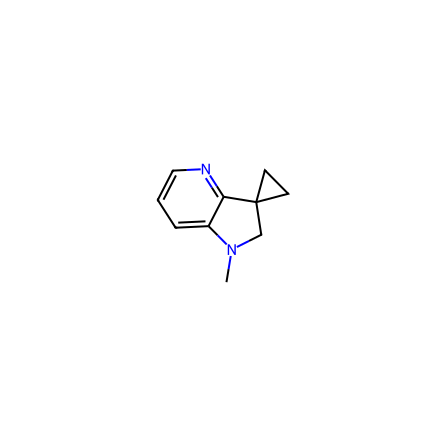 CN1CC2(CC2)c2ncccc21